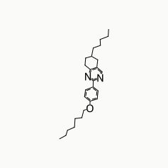 CCCCCCCOc1ccc(-c2ncc3c(n2)CCC(CCCCC)C3)cc1